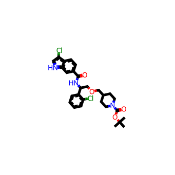 CC(C)(C)OC(=O)N1CCC(COCC(NC(=O)c2ccc3c(Cl)c[nH]c3c2)c2ccccc2Cl)CC1